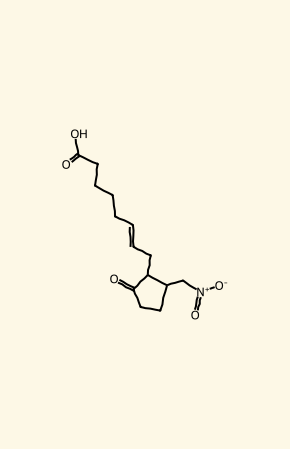 O=C(O)CCCCC=CCC1C(=O)CCC1C[N+](=O)[O-]